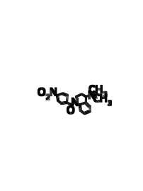 CN(C)[C@@H]1CCN(C(=O)c2ccc([N+](=O)[O-])cc2)c2ccccc21